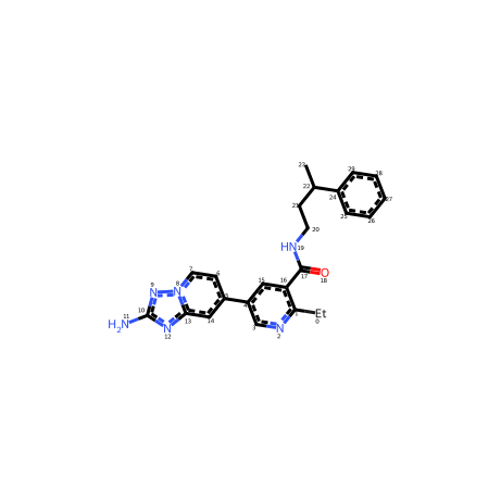 CCc1ncc(-c2ccn3nc(N)nc3c2)cc1C(=O)NCCC(C)c1ccccc1